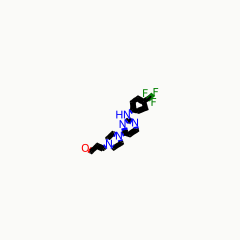 O=CC=CN1CCN(c2ccnc(Nc3ccc(C(F)(F)F)cc3)n2)CC1